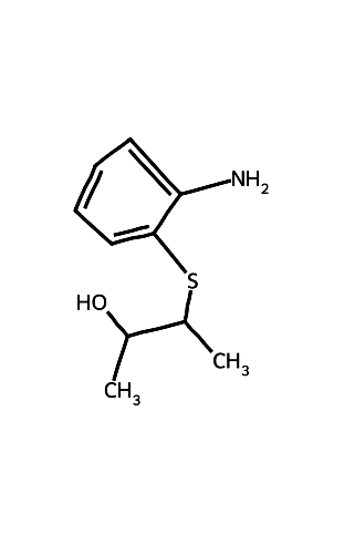 CC(O)C(C)Sc1ccccc1N